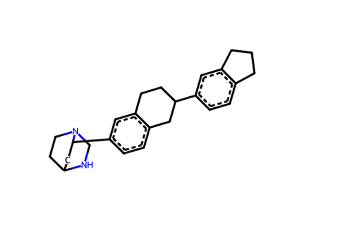 c1cc2c(cc1C1CCc3cc(C4CC5CCN4CN5)ccc3C1)CCC2